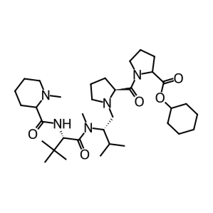 CC(C)[C@@H](CN1CCC[C@H]1C(=O)N1CCCC1C(=O)OC1CCCCC1)N(C)C(=O)[C@@H](NC(=O)C1CCCCN1C)C(C)(C)C